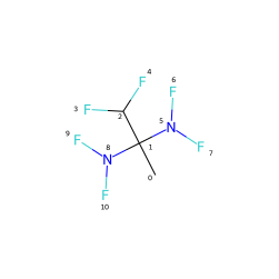 CC(C(F)F)(N(F)F)N(F)F